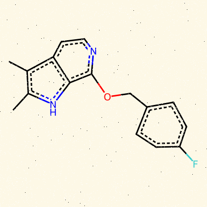 Cc1[nH]c2c(OCc3ccc(F)cc3)nccc2c1C